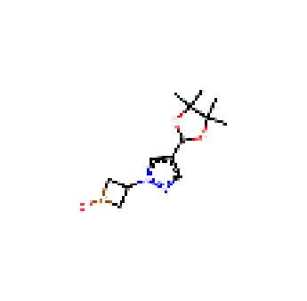 CC1(C)OB(c2cnn(C3C[S+]([O-])C3)c2)OC1(C)C